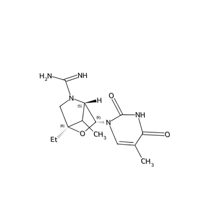 CC[C@]12CN(C(=N)N)[C@@H](C1C)[C@H](n1cc(C)c(=O)[nH]c1=O)O2